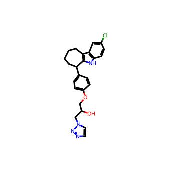 OC(COc1ccc(C2CCCCc3c2[nH]c2ccc(Cl)cc32)cc1)Cn1ccnn1